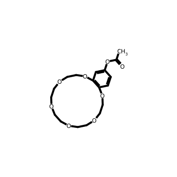 CC(=O)Oc1ccc2c(c1)OCCOCCOCCOCCOCCO2